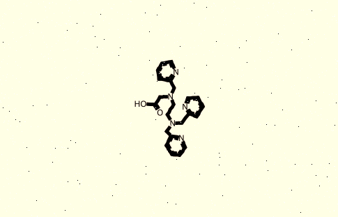 O=C(O)CN(CCN(Cc1ccccn1)Cc1ccccn1)Cc1ccccn1